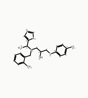 Cc1ccccc1CN(CC(O)COc1ccc(C(F)(F)F)cc1)C(C)c1cncs1